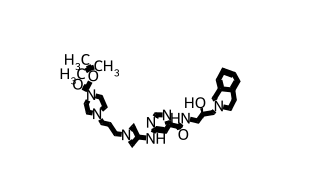 CC(C)(C)OC(=O)N1CCN(CCCN2CC(Nc3cc(C(=O)NC[C@@H](O)CN4CCc5ccccc5C4)ncn3)C2)CC1